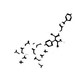 CC(C)C[C@H](NC(=O)OC(C)(C)C)C(=O)N[C@@H](C)C(=O)OC[C@H](COc1ccc(-c2c(C#N)c(N)nc(SCc3coc(-c4ccc(Cl)cc4)n3)c2C#N)cc1)OC(=O)[C@H](C)NC(=O)[C@H](CC(C)C)NC(=O)OC(C)(C)C